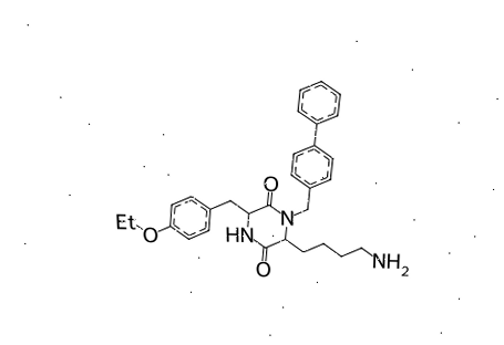 CCOc1ccc(CC2NC(=O)C(CCCCN)N(Cc3ccc(-c4ccccc4)cc3)C2=O)cc1